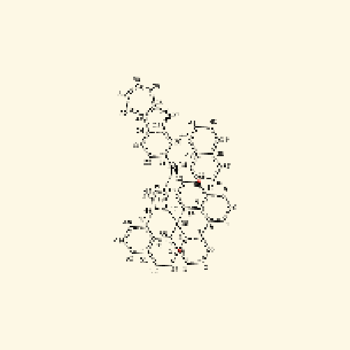 c1ccc2c(c1)-c1cccc3cccc(c13)C21c2cc(N(c3ccc4c(c3)sc3ccccc34)c3cccc4ccccc34)ccc2-c2cccc3cccc1c23